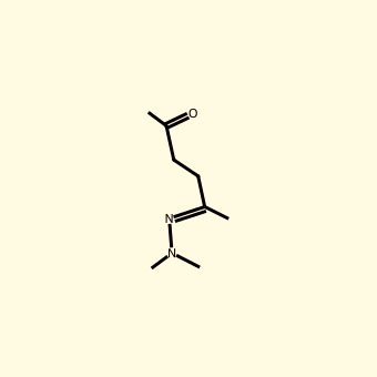 CC(=O)CCC(C)=NN(C)C